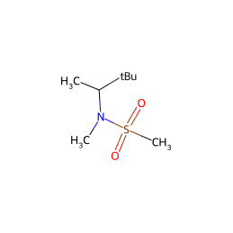 CC(N(C)S(C)(=O)=O)C(C)(C)C